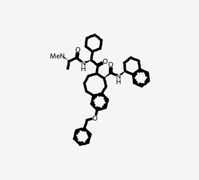 CN[C@@H](C)C(=O)N[C@H](C(=O)C1CCCc2cc(OCc3ccccc3)ccc2C[C@@H]1C(=O)N[C@H]1CCCc2ccccc21)C1CCCCC1